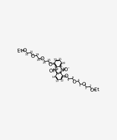 CCOCCOCCOCCOc1cccc2c1[n+]([O-])c1cccc(OCCOCCOCCOCC)c1[n+]2[O-]